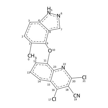 Cc1ccc2[nH]ncc2c1Oc1cccc2c(Cl)c(C#N)c(Cl)nc12